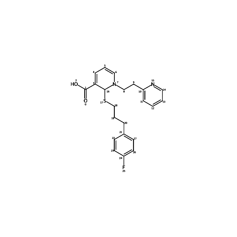 O=C(O)C1=CC=CN(CCc2ccccn2)C1SCCCc1ccc(F)cc1